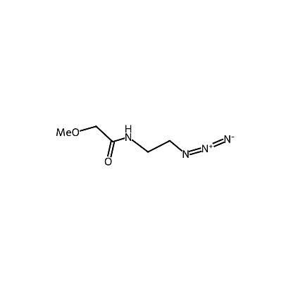 COCC(=O)NCCN=[N+]=[N-]